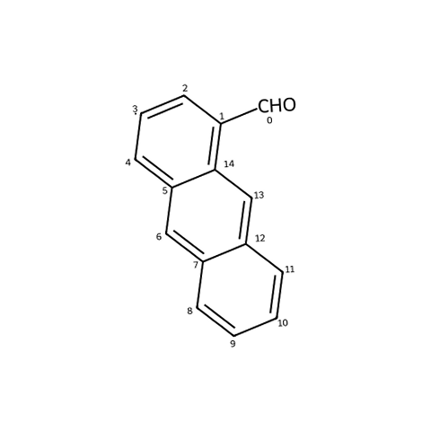 O=Cc1c[c]cc2cc3ccccc3cc12